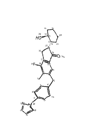 Cc1c(Cc2ccc(-n3cccn3)cc2)cc2c(c1F)CN([C@H]1CCCC[C@@H]1O)C2=O